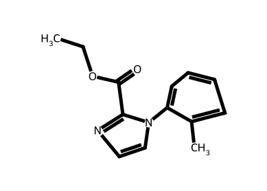 CCOC(=O)c1nccn1-c1ccccc1C